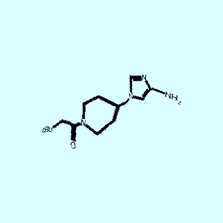 CC(C)(C)CC(=O)N1CCC(n2cnc(N)c2)CC1